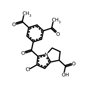 CC(=O)c1cc(C(C)=O)cc(C(=O)c2c(Cl)cc3n2CCC3C(=O)O)c1